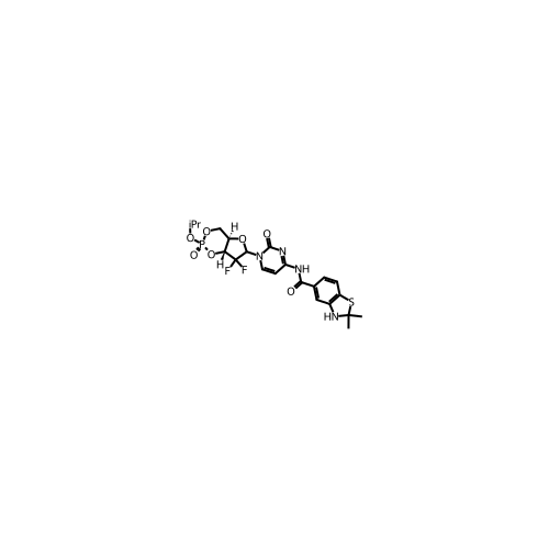 CC(C)OP1(=O)OC[C@H]2OC(n3ccc(NC(=O)c4ccc5c(c4)NC(C)(C)S5)nc3=O)C(F)(F)[C@@H]2O1